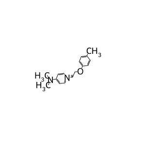 Cc1ccc(OCC[n+]2ccc(N(C)C)cc2)cc1